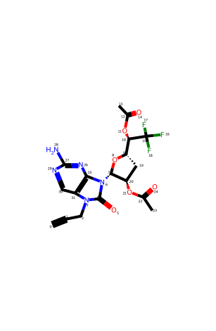 C#CCn1c(=O)n([C@@H]2O[C@H]([C@@H](OC(C)=O)C(F)(F)F)C[C@H]2OC(C)=O)c2nc(N)ncc21